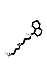 NCCCNCCCNC1CCCC2CCCCC21